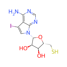 Nc1ncnc2c1c(I)cn2[C@@H]1O[C@H](CS)[C@@H](O)[C@H]1O